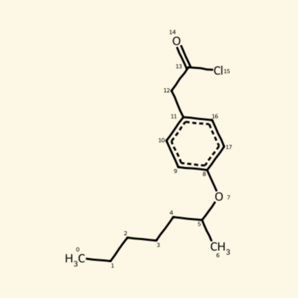 CCCCCC(C)Oc1ccc(CC(=O)Cl)cc1